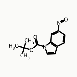 CC(C)(C)OC(=O)n1ccc2ccc(N=O)cc21